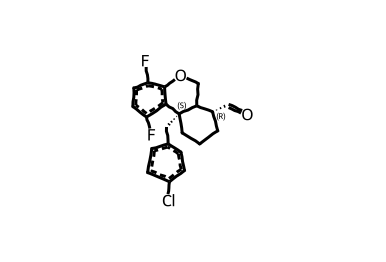 O=C[C@@H]1CCC[C@@]2(Cc3ccc(Cl)cc3)c3c(F)ccc(F)c3OCC12